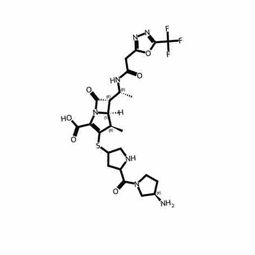 C[C@@H](NC(=O)Cc1nnc(C(F)(F)F)o1)[C@H]1C(=O)N2C(C(=O)O)=C(SC3CNC(C(=O)N4CC[C@@H](N)C4)C3)[C@H](C)[C@H]12